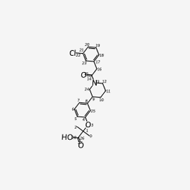 CC(C)(Oc1cccc(C2CCCN(C(=O)Cc3cccc(Cl)c3)C2)c1)C(=O)O